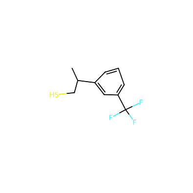 CC(CS)c1cccc(C(F)(F)F)c1